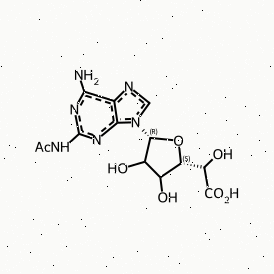 CC(=O)Nc1nc(N)c2ncn([C@@H]3O[C@H](C(O)C(=O)O)C(O)C3O)c2n1